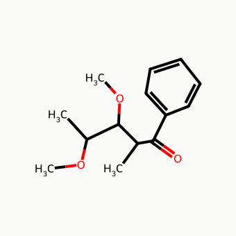 COC(C)C(OC)C(C)C(=O)c1ccccc1